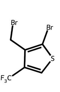 FC(F)(F)c1csc(Br)c1CBr